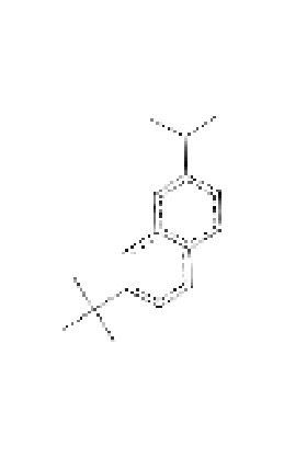 CC(C)c1ccc2ccc(C(C)(C)C)cc2c1